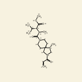 C=CC(=O)N1CN(C)C2(CCN(C(=O)N(C)[C@H](C(=O)OC)C(C)C)CC2)C1